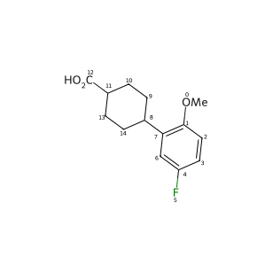 COc1ccc(F)cc1C1CCC(C(=O)O)CC1